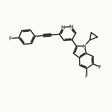 Fc1ccc(C#Cc2cc(-c3cc4cc(F)c(F)cc4n3C3CC3)cnn2)cc1